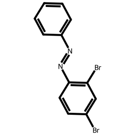 Brc1ccc(N=Nc2ccccc2)c(Br)c1